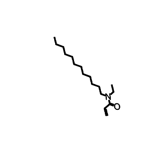 C=CC(=O)N(CC)CCCCCCCCCCCC